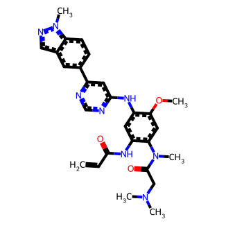 C=CC(=O)Nc1cc(Nc2cc(-c3ccc4c(cnn4C)c3)ncn2)c(OC)cc1N(C)C(=O)CN(C)C